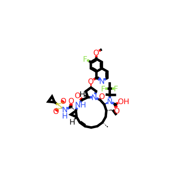 CC[C@@H]1C[C@H](C)CC/C=C\[C@@H]2C[C@@]2(C(=O)NS(=O)(=O)C2CC2)NC(=O)[C@@H]2C[C@@H](Oc3nccc4cc(OC)c(F)cc34)CN2C(=O)[C@H]1N(C(=O)O)C(C)(C)C(C)(F)F